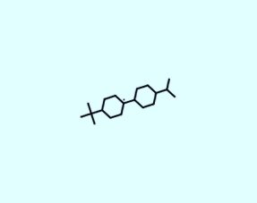 CC(C)C1CCC([C]2CCC(C(C)(C)C)CC2)CC1